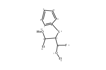 CCOC(F)C(Sc1ccccc1)C(CC)OC